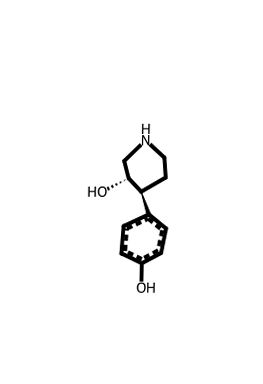 Oc1ccc([C@@H]2CCNC[C@H]2O)cc1